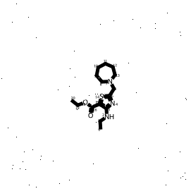 CCNc1nc(CN2CCCCCC2)sc1C(=O)OCC